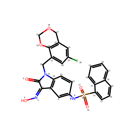 O=C1/C(=N\O)c2cc(NS(=O)(=O)c3cccc4ccccc34)ccc2N1Cc1cc(F)cc2c1OCOC2